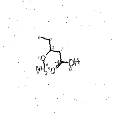 CCC(CC(=O)O)OC.N